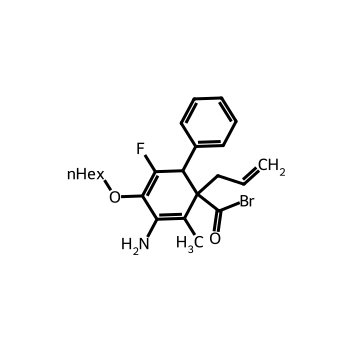 C=CCC1(C(=O)Br)C(C)=C(N)C(OCCCCCC)=C(F)C1c1ccccc1